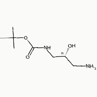 CC(C)(C)OC(=O)NC[C@H](O)CN